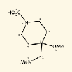 CNCC1(OC)CCN(C(=O)O)CC1